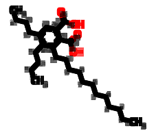 CCCCCCCCCCCCc1c(CCCC)c(CCCC)cc(C(=O)O)c1C(=O)O